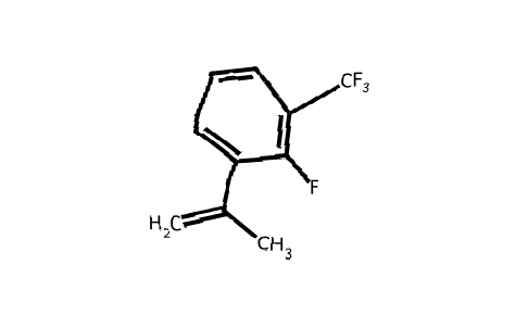 C=C(C)c1cccc(C(F)(F)F)c1F